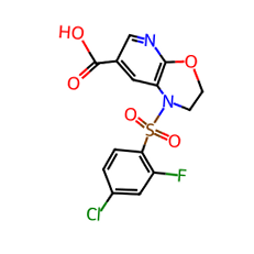 O=C(O)c1cnc2c(c1)N(S(=O)(=O)c1ccc(Cl)cc1F)CCO2